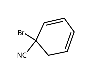 N#CC1(Br)C=CC=CC1